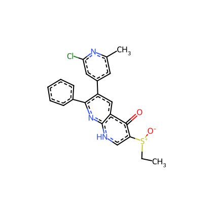 CC[S+]([O-])c1c[nH]c2nc(-c3ccccc3)c(-c3cc(C)nc(Cl)c3)cc2c1=O